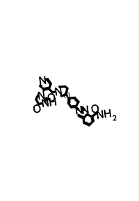 NC(=O)c1cccc2cn(-c3ccc([C@@H]4CCCN(Cc5ccncc5N5CCC(=O)NC5=O)C4)cc3)nc12